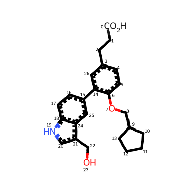 O=C(O)CCc1ccc(OCC2CCCC2)c(-c2ccc3[nH]cc(CO)c3c2)c1